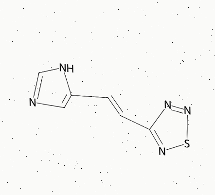 C(=C\c1cnc[nH]1)/c1nnsn1